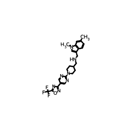 Cc1ccc2c(CNCC3CCN(c4ncc(-c5noc(C(F)(F)F)n5)cn4)CC3)cn(C)c2c1